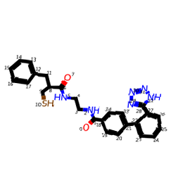 O=C(NCCNC(=O)C(CS)Cc1ccccc1)c1ccc(-c2ccccc2-c2nnn[nH]2)cc1